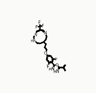 CC(C)C(=N)OC(=N)c1c(F)cc(OCCCC2CC\N=C/C(C(F)(F)F)=C\N=C\NCC2)cc1F